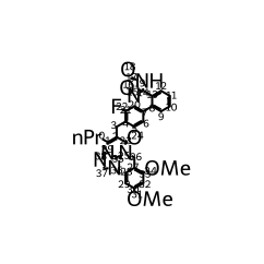 CCCc1c(Cc2ccc(-c3ccccc3-c3noc(=O)[nH]3)cc2F)c(=O)n(Cc2ccc(OC)cc2OC)c2ncnn12